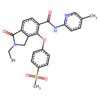 Cc1ccc(NC(=O)c2ccc3c(c2Oc2ccc(S(C)(=O)=O)cc2)CN(CC(C)C)C3=O)nc1